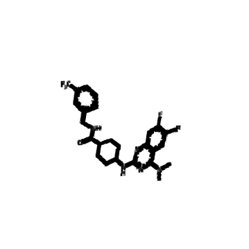 CN(C)c1nc(NC2CCC(C(=O)NCc3cccc(C(F)(F)F)c3)CC2)nc2cc(F)c(F)cc12